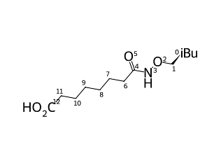 CC[C@H](C)CONC(=O)CCCCCCC(=O)O